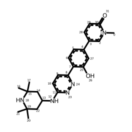 Cn1cc(-c2ccc(-c3ccc(NC4CC(C)(C)NC(C)(C)C4)nn3)c(O)c2)ccc1=O